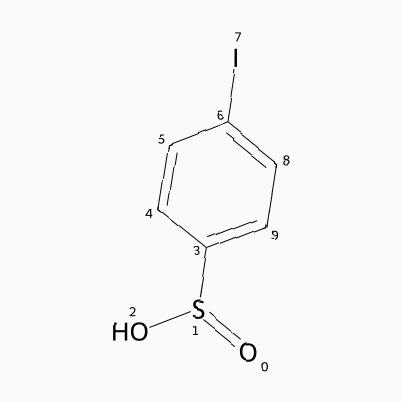 O=S(O)c1ccc(I)cc1